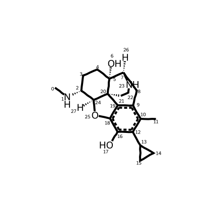 CN[C@@H]1CC[C@@]2(O)[C@H]3Cc4c(C)c(C5CC5)c(O)c5c4[C@@]2(CCN3)[C@H]1O5